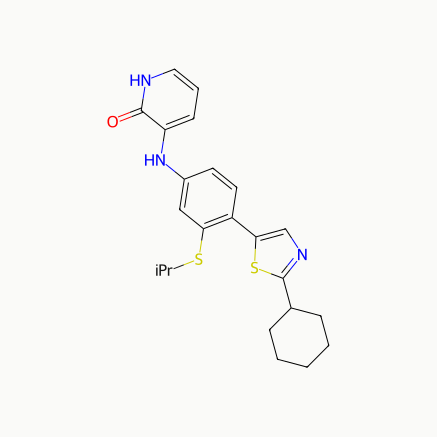 CC(C)Sc1cc(Nc2ccc[nH]c2=O)ccc1-c1cnc(C2CCCCC2)s1